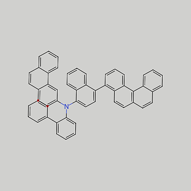 c1ccc(-c2ccccc2N(c2ccc3ccc4ccccc4c3c2)c2ccc(-c3cccc4c3ccc3ccc5ccccc5c34)c3ccccc23)cc1